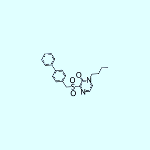 CCCCn1ccnc(S(=O)(=O)Cc2ccc(-c3ccccc3)cc2)c1=O